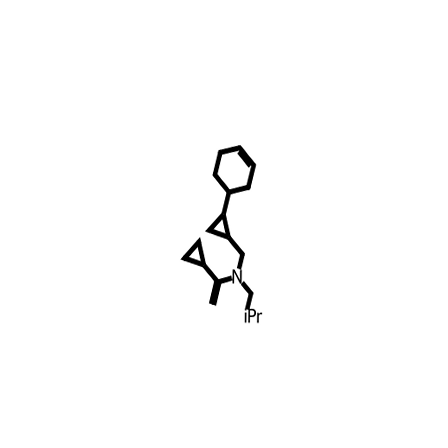 C=C(C1CC1)N(CC(C)C)CC1CC1C1CC=CCC1